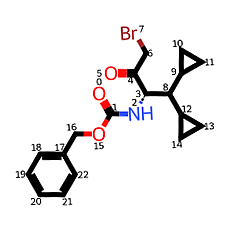 O=C(N[C@H](C(=O)CBr)C(C1CC1)C1CC1)OCc1ccccc1